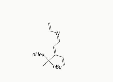 C=C/N=C\C=C(/C=C)C(C)(CCCC)CCCCCC